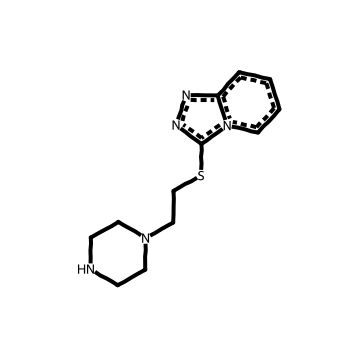 c1ccn2c(SCCN3CCNCC3)nnc2c1